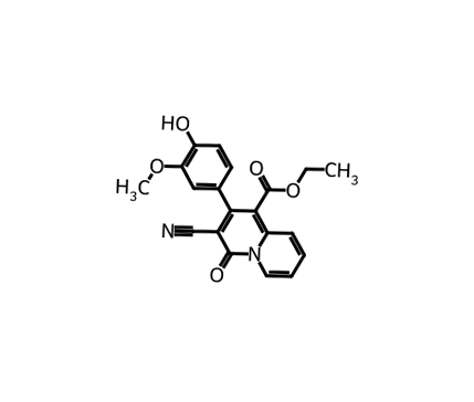 CCOC(=O)c1c(-c2ccc(O)c(OC)c2)c(C#N)c(=O)n2ccccc12